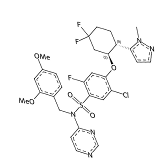 COc1ccc(CN(c2ccncn2)S(=O)(=O)c2cc(Cl)c(O[C@H]3CC(F)(F)CC[C@@H]3c3ccnn3C)cc2F)c(OC)c1